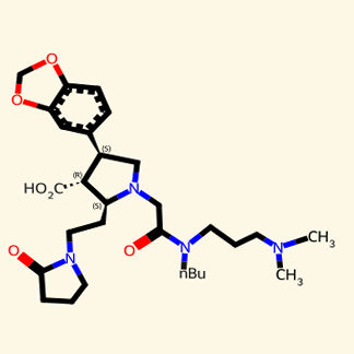 CCCCN(CCCN(C)C)C(=O)CN1C[C@H](c2ccc3c(c2)OCO3)[C@@H](C(=O)O)[C@@H]1CCN1CCCC1=O